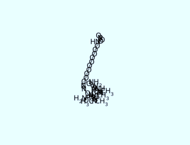 CCn1nc(C)cc1C(=O)Nc1nc2cc(C(N)=O)ccc2n1C/C=C/Cn1c(NC(=O)c2cc(C)nn2CC)nc2cc(C(N)=O)cc(OCCCN3CCN(CCOCCOCCOCCOCCOCCOCCOCCOCCOCCOCCNC(=O)CN4C(=O)C=CC4=O)CC3)c21